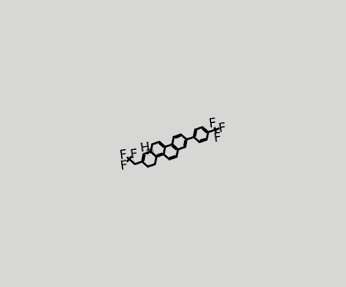 FC(F)(F)CC1=C[C@H]2CC=c3c(ccc4cc(-c5ccc(C(F)(F)F)cc5)ccc34)=C2CC1